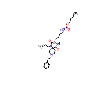 CCCCOC(=O)NCCCC[C@@H]1NC(=O)C2(CCN(CCc3ccccc3)CC2)N(CCC)C1=O